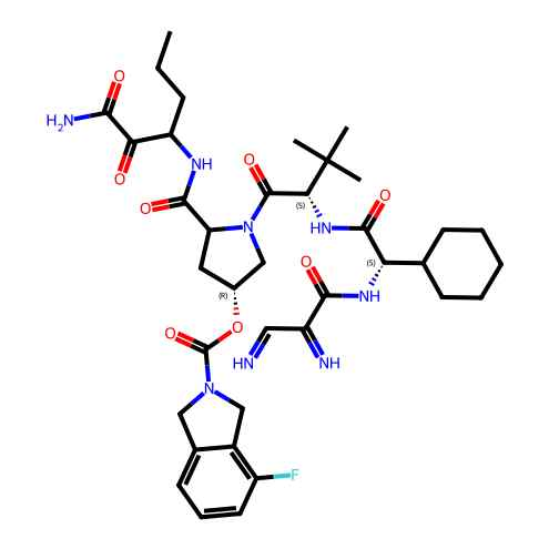 CCCC(NC(=O)C1C[C@@H](OC(=O)N2Cc3cccc(F)c3C2)CN1C(=O)[C@@H](NC(=O)[C@@H](NC(=O)C(=N)C=N)C1CCCCC1)C(C)(C)C)C(=O)C(N)=O